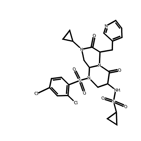 O=C1C(Cc2cccnc2)N2C(=O)C(NS(=O)(=O)C3CC3)CN(S(=O)(=O)c3ccc(Cl)cc3Cl)C2CN1C1CC1